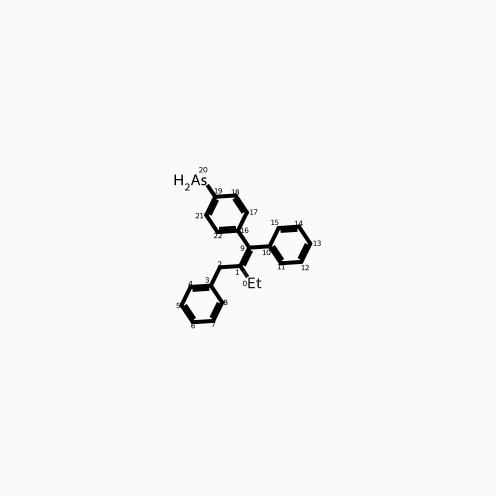 CC/C(Cc1ccccc1)=C(\c1ccccc1)c1ccc([AsH2])cc1